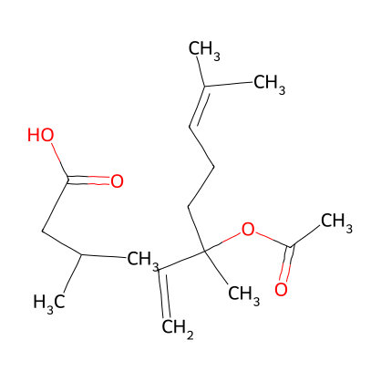 C=CC(C)(CCC=C(C)C)OC(C)=O.CC(C)CC(=O)O